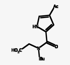 CCC(C)N(CC(=O)O)C(=O)c1cc(C(C)=O)c[nH]1